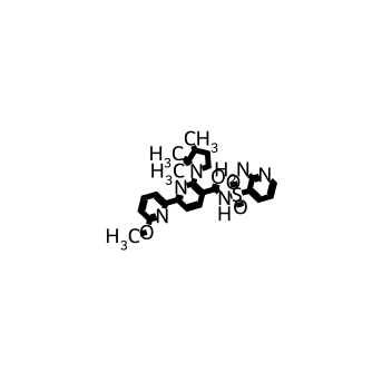 COc1cccc(-c2ccc(C(=O)NS(=O)(=O)c3cccnc3N)c(N3CCC(C)C3(C)C)n2)n1